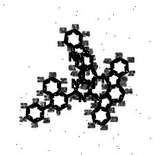 c1ccc(-c2nc(-c3ccc(-c4ccccc4)c4ccccc34)nc(-n3c4ccccc4c4ccc5c6ccccc6n(-c6cccc(-c7nc8ccccc8s7)c6)c5c43)n2)cc1